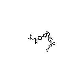 CCNCCNc1ccc(-c2cc3c(N4CCN(C(=O)N5CC(C#N)C5)CC4)ccnn3c2)cc1